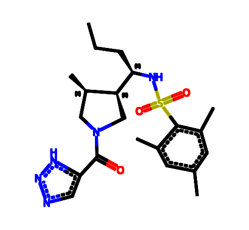 CCC[C@@H](NS(=O)(=O)c1c(C)cc(C)cc1C)[C@H]1CN(C(=O)c2cnn[nH]2)C[C@H]1C